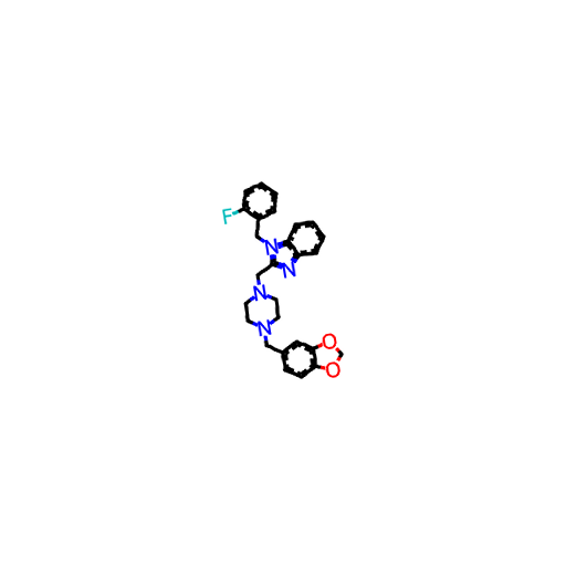 Fc1ccccc1Cn1c(CN2CCN(Cc3ccc4c(c3)OCO4)CC2)nc2ccccc21